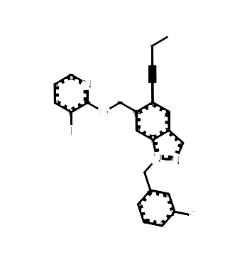 CCC#Cc1cc2cnn(Cc3cccc(F)c3)c2cc1COc1ncccc1I